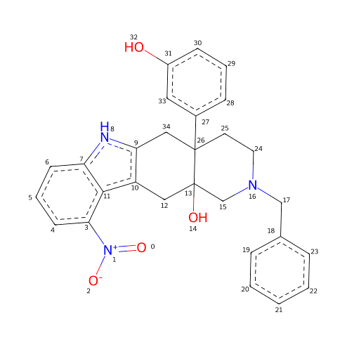 O=[N+]([O-])c1cccc2[nH]c3c(c12)CC1(O)CN(Cc2ccccc2)CCC1(c1cccc(O)c1)C3